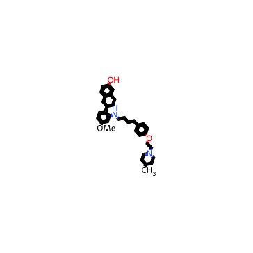 COc1ccc(C2CCc3cc(O)ccc3C2)c(NCCCCc2ccc(OCCN3CCC(C)CC3)cc2)c1